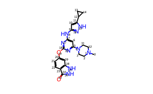 CN1CCN(c2cc(Nc3cc(C4CC4)[nH]n3)nc(Oc3ccc4c(=O)[nH][nH]c4c3)n2)CC1